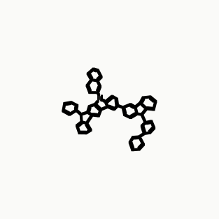 c1ccc(-c2cccc(C3c4ccccc4-c4cc(-c5ccc6c(c5)c5cc7c(cc5n6-c5ccc6ccccc6c5)C(c5ccccc5)c5ccccc5-7)ccc43)c2)cc1